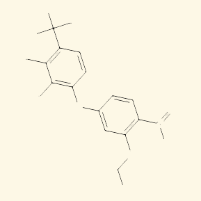 CCOc1cc(Oc2ccc(C(F)(F)F)c(I)c2Cl)ccc1[N+](=O)[O-]